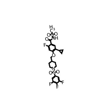 CS(=O)(=O)NC(=O)c1cc(C2CC2)c(OCC2CCN(S(=O)(=O)c3cc(F)c(F)c(F)c3)CC2)cc1F